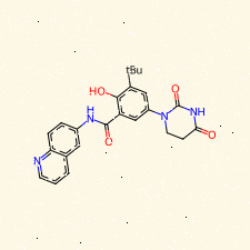 CC(C)(C)c1cc(N2CCC(=O)NC2=O)cc(C(=O)Nc2ccc3ncccc3c2)c1O